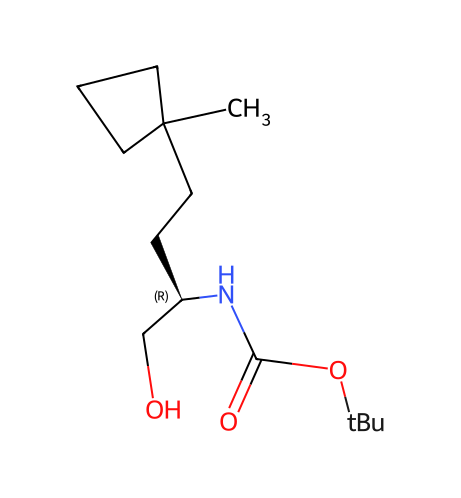 CC1(CC[C@H](CO)NC(=O)OC(C)(C)C)CCC1